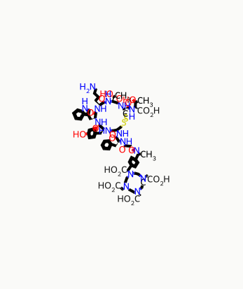 C/C(=N/OCC(=O)N[C@H](Cc1ccccc1)C(=O)N[C@H]1CSSC[C@@H](C(=O)N[C@H](C(=O)O)C(C)O)NC(=O)[C@H](C(C)O)NC(=O)[C@H](CCCCN)NC(=O)[C@@H](Cc2c[nH]c3ccccc23)NC(=O)[C@H](Cc2ccc(O)cc2)NC1=O)c1ccc(C(C(=O)O)N2CCN(CC(=O)O)CCN(CC(=O)O)CCN(CC(=O)O)CC2)cc1